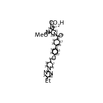 CCc1cnc(N2CCC(COc3ccc(C4=CCC(C(=O)N5CC(=NOC)C6(CN(C(=O)O)C6)C5)CC4)cc3)CC2)nc1